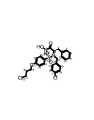 O=C(NO)[C@@H](Cc1ccccc1)N(Cc1ccc(Cl)cc1)S(=O)(=O)c1ccc(OCCCCl)cc1